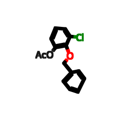 CC(=O)Oc1cccc(Cl)c1OCc1ccccc1